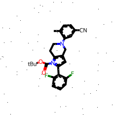 Cc1ccc(C#N)cc1N1CCc2c(cc(-c3c(F)cccc3F)n2C(=O)OC(C)(C)C)C1